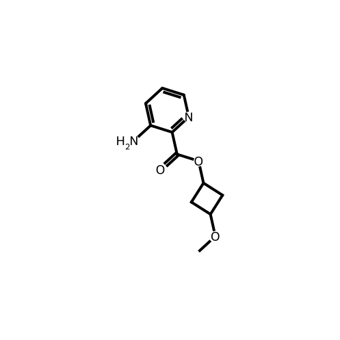 COC1CC(OC(=O)c2ncccc2N)C1